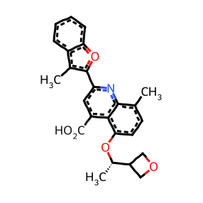 Cc1c(-c2cc(C(=O)O)c3c(O[C@@H](C)C4COC4)ccc(C)c3n2)oc2ccccc12